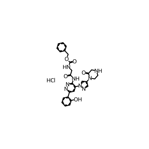 Cl.O=C(CNC(=O)OCc1ccccc1)Nc1nnc(-c2ccccc2O)cc1-n1cc(N2CCNCC2=O)cn1